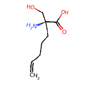 C=CCCC[C@](N)(CO)C(=O)O